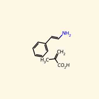 C=C(C)C(=O)O.NC=Cc1ccccc1